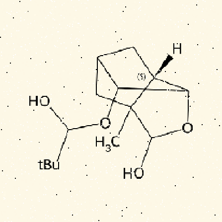 CC(C)(C)C(O)OC1C2C[C@@H]3C1OC(O)C3(C)C2